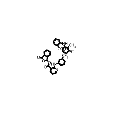 Cc1c(Cl)cccc1Nc1ccccc1C(=O)O.O=C1OC(OC(=O)c2cccnc2Nc2cccc(C(F)(F)F)c2)c2ccccc21